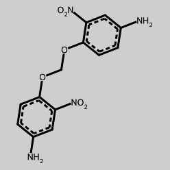 Nc1ccc(OCOc2ccc(N)cc2[N+](=O)[O-])c([N+](=O)[O-])c1